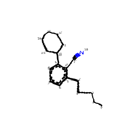 CCCCCc1cccc(C2CCCCC2)c1C#N